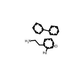 Cl.NCCc1cccc[c]1[Pd].c1ccc(-c2ccccc2)cc1